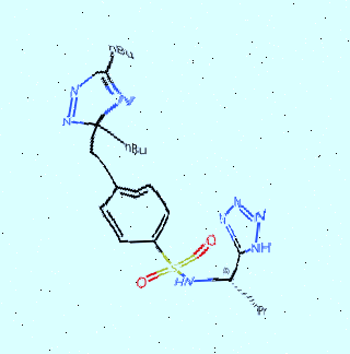 CCCCC1=NC(CCCC)(Cc2ccc(S(=O)(=O)N[C@H](c3nnn[nH]3)C(C)C)cc2)N=N1